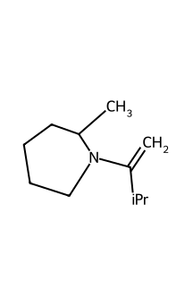 C=C(C(C)C)N1CCCCC1C